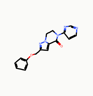 O=C1c2cc(COc3ccccc3)nn2CCN1c1ccncn1